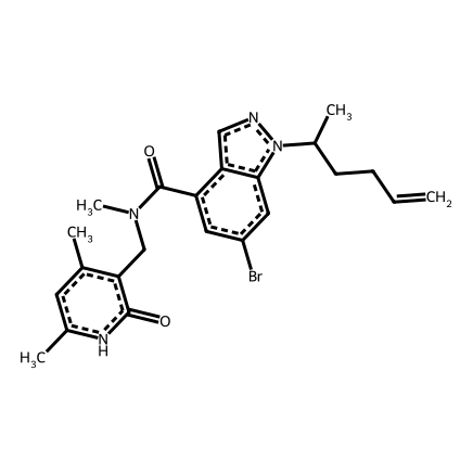 C=CCCC(C)n1ncc2c(C(=O)N(C)Cc3c(C)cc(C)[nH]c3=O)cc(Br)cc21